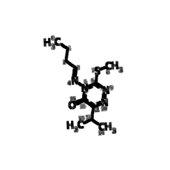 CCC/C=N/n1c(SC)nnc(C(C)C)c1=O